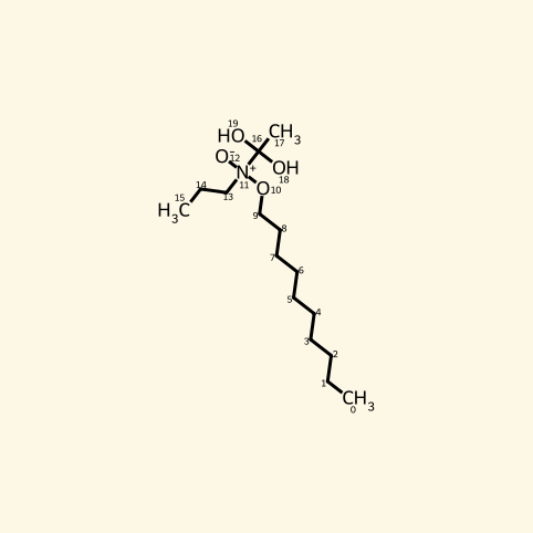 CCCCCCCCCCO[N+]([O-])(CCC)C(C)(O)O